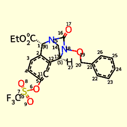 CCOC(=O)[C@H]1c2ccc(OS(=O)(=O)C(F)(F)F)cc2[C@H]2CN1C(=O)N2OCc1ccccc1